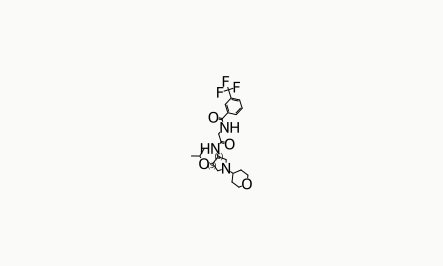 CC(C)O[C@H]1CN(C2CCOCC2)C[C@@H]1NC(=O)CNC(=O)c1cccc(C(F)(F)F)c1